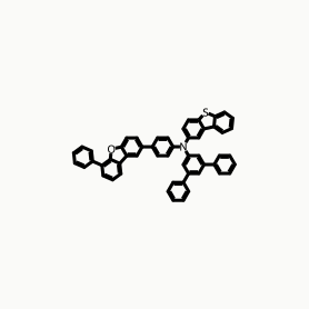 c1ccc(-c2cc(-c3ccccc3)cc(N(c3ccc(-c4ccc5oc6c(-c7ccccc7)cccc6c5c4)cc3)c3ccc4sc5ccccc5c4c3)c2)cc1